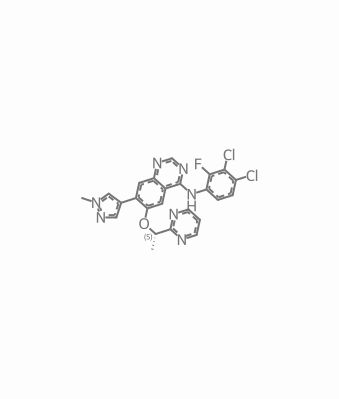 C[C@H](Oc1cc2c(Nc3ccc(Cl)c(Cl)c3F)ncnc2cc1-c1cnn(C)c1)c1ncccn1